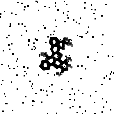 CC(=O)N1C=C(c2ccccc2)N(N(C(C)=O)[C@@H](Cc2ccccc2)C(=O)C2=NCC(C)(C)S2)C(=O)C1C(C)C